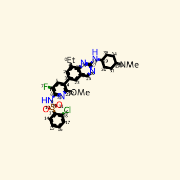 CCc1cc(-c2cc(F)c(NS(=O)(=O)c3ccccc3Cl)nc2OC)cc2cnc(NC3CCC(NC)CC3)nc12